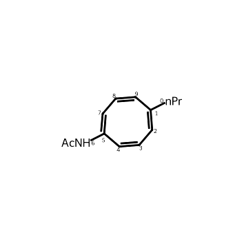 CCCC1=C/C=C\C(NC(C)=O)=C/C=C\1